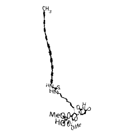 CC#CC#CC#CC#CC#CC#CC#CC#CC#CC#CNC(=S)NCCCC/C=C/C[C@H]1C(OP(=O)(O)OC)[C@@H](COC)O[C@H]1n1ccc(=O)[nH]c1=O